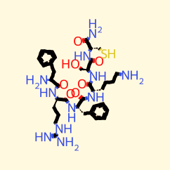 N=C(N)NCCC[C@@H](NC(=O)[C@@H](N)Cc1ccccc1)C(=O)N[C@@H](Cc1ccccc1)C(=O)N[C@@H](CCCCN)C(=O)N[C@@H](CO)C(=O)N[C@@H](CS)C(N)=O